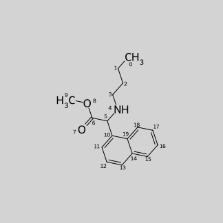 CCCCNC(C(=O)OC)c1cccc2ccccc12